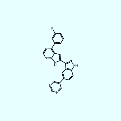 Fc1cccc(-c2ccnc3[nH]c(-c4n[nH]c5ccc(-c6cncnc6)cc45)cc23)c1